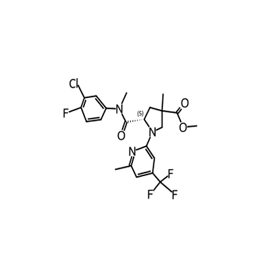 COC(=O)C1(C)C[C@@H](C(=O)N(C)c2ccc(F)c(Cl)c2)N(c2cc(C(F)(F)F)cc(C)n2)C1